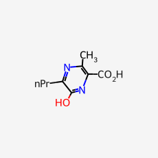 CCCc1nc(C)c(C(=O)O)nc1O